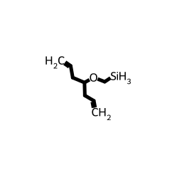 C=CCC(CC=C)OC[SiH3]